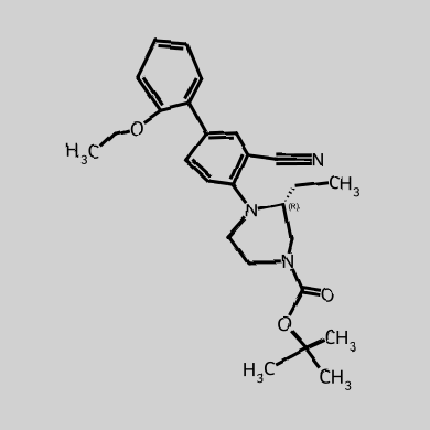 CCOc1ccccc1-c1ccc(N2CCN(C(=O)OC(C)(C)C)C[C@H]2CC)c(C#N)c1